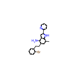 Cc1cc(CCc2ccccc2Br)c(N)c2cc(-c3ccccn3)[nH]c12